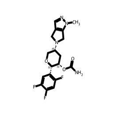 Cn1ncc2c1CN([C@H]1CO[C@@H](c3cc(F)c(F)cc3F)[C@@H](OC(N)=O)C1)C2